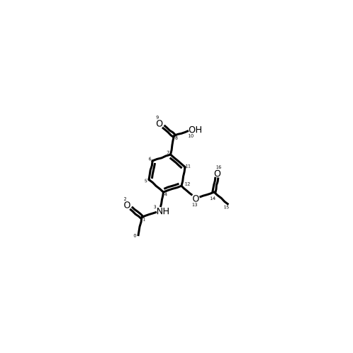 CC(=O)Nc1ccc(C(=O)O)cc1OC(C)=O